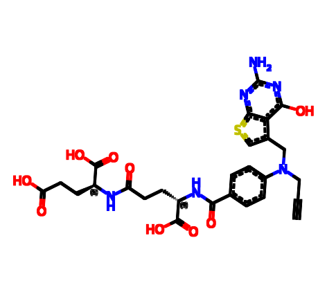 C#CCN(Cc1csc2nc(N)nc(O)c12)c1ccc(C(=O)N[C@@H](CCC(=O)N[C@@H](CCC(=O)O)C(=O)O)C(=O)O)cc1